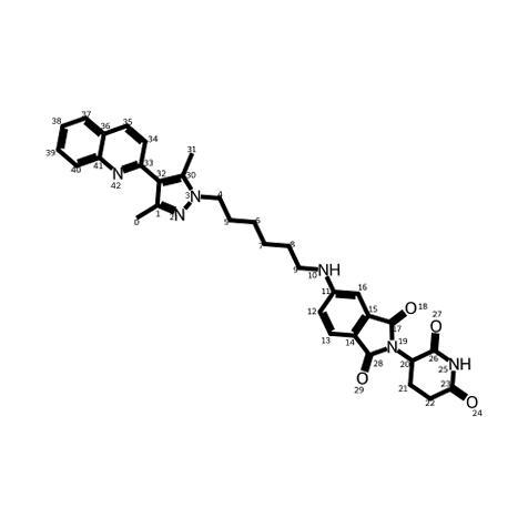 Cc1nn(CCCCCCNc2ccc3c(c2)C(=O)N(C2CCC(=O)NC2=O)C3=O)c(C)c1-c1ccc2ccccc2n1